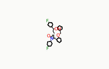 O=C1[C@H](CCC(O)c2ccc(F)cc2)[C@@H](c2ccccc2OCc2ccccc2)N1c1ccc(F)cc1